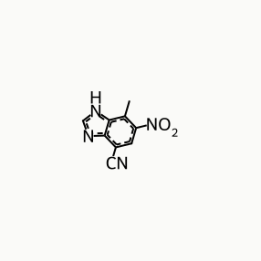 Cc1c([N+](=O)[O-])cc(C#N)c2nc[nH]c12